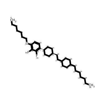 CCCCCCCOc1ccc([C@H]2CC[C@H](CCC3CCC(CCCCCCC)CC3)CC2)c(F)c1F